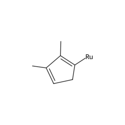 CC1=CC[C]([Ru])=C1C